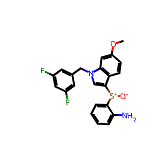 COc1ccc2c([S@@+]([O-])c3ccccc3N)cn(Cc3cc(F)cc(F)c3)c2c1